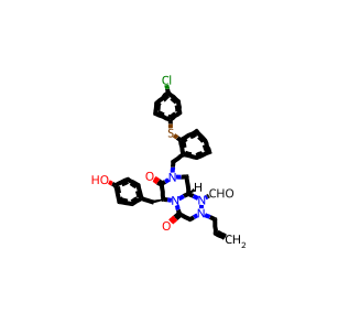 C=CCN1CC(=O)N2[C@@H](Cc3ccc(O)cc3)C(=O)N(Cc3ccccc3Sc3ccc(Cl)cc3)C[C@@H]2N1C=O